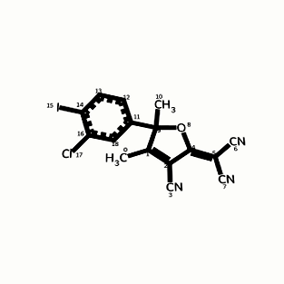 CC1=C(C#N)C(=C(C#N)C#N)OC1(C)c1ccc(I)c(Cl)c1